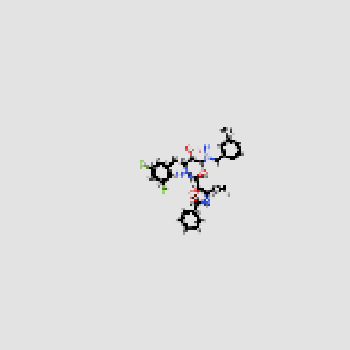 CCc1cccc(CNC[C@@H](O)[C@H](Cc2cc(F)cc(F)c2)NC(=O)c2oc(-c3ccccc3)nc2C)c1